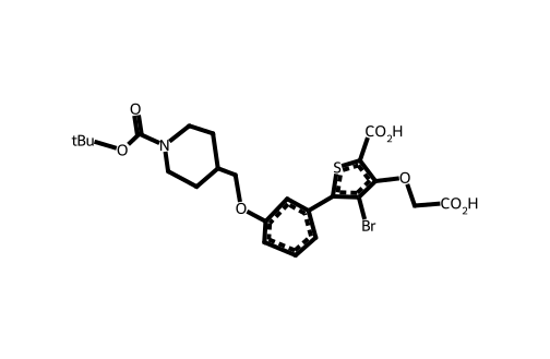 CC(C)(C)OC(=O)N1CCC(COc2cccc(-c3sc(C(=O)O)c(OCC(=O)O)c3Br)c2)CC1